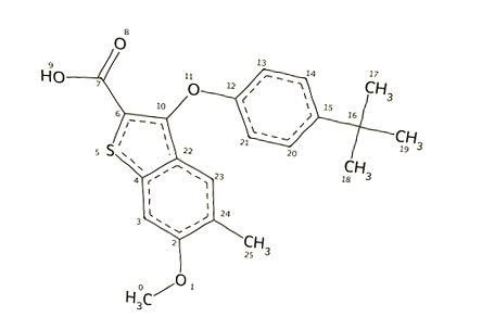 COc1cc2sc(C(=O)O)c(Oc3ccc(C(C)(C)C)cc3)c2cc1C